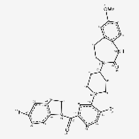 COc1ccc2c(c1)CCN(C1CCN(c3cc(C(=O)N4CCc5cc(F)ccc54)ncc3Br)CC1)C(=O)N2